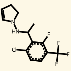 CC(NN1C=CCC1)c1c(Cl)ccc(C(F)(F)F)c1F